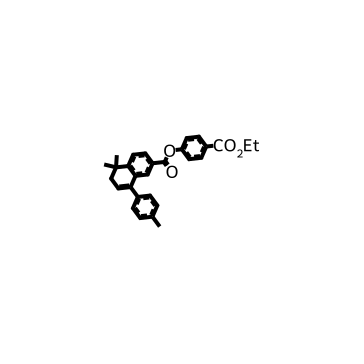 CCOC(=O)c1ccc(OC(=O)c2ccc3c(c2)C(c2ccc(C)cc2)=CCC3(C)C)cc1